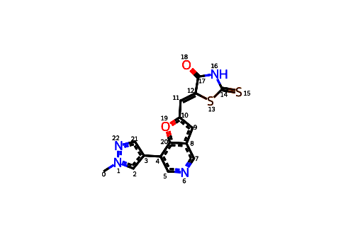 Cn1cc(-c2cncc3cc(/C=C4\SC(=S)NC4=O)oc23)cn1